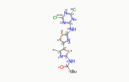 Cc1nc(NC(=O)C(C)(C)C)sc1-c1csc(Nc2nc(Cl)nc(Cl)n2)n1